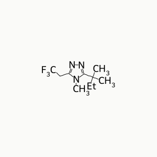 CCC(C)(C)c1nnc(CC(F)(F)F)n1C